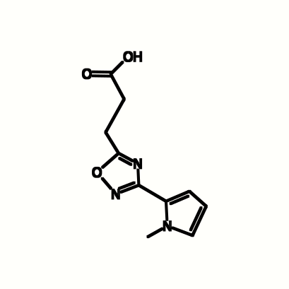 Cn1cccc1-c1noc(CCC(=O)O)n1